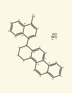 CCc1ccc(C2CCCc3c2ccc2c3ccc3ccccc32)c2ccccc12.Cl.N